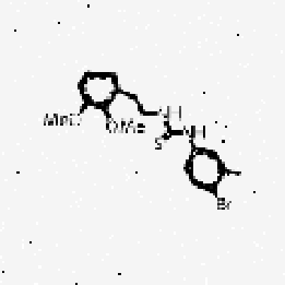 COc1cccc(CCNC(=S)Nc2ccc(Br)c(C)c2)c1OC